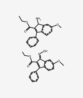 CCOC(=O)C1=C(c2ccccc2)c2ccc(OC)cc2C1=NO.CCOC(=O)C1=C(c2ccccc2)c2ccc(OC)cc2C1N